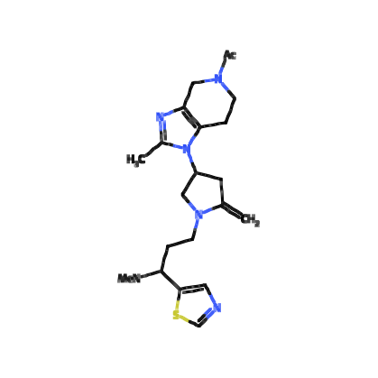 C=C1CC(n2c(C)nc3c2CCN(C(C)=O)C3)CN1CCC(NC)c1cncs1